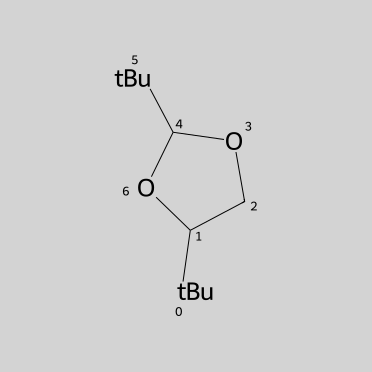 CC(C)(C)C1COC(C(C)(C)C)O1